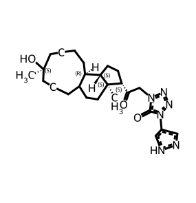 C[C@]1(O)CCCC[C@@H]2C(CCC1)CC[C@]1(C)[C@@H](C(=O)Cn3nnn(-c4cn[nH]c4)c3=O)CC[C@@H]21